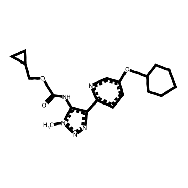 Cn1nnc(-c2ccc(OC3CCCCC3)cn2)c1NC(=O)OCC1CC1